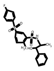 Cc1ccc(S(=O)(=O)c2ccc(F)cc2)cc1S(=O)(=O)NC(C)C(O)c1ccccc1